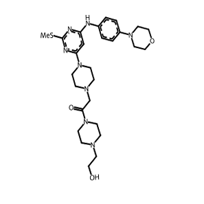 CSc1nc(Nc2ccc(N3CCOCC3)cc2)cc(N2CCN(CC(=O)N3CCN(CCO)CC3)CC2)n1